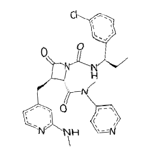 CC[C@@H](NC(=O)N1C(=O)[C@H](Cc2ccnc(NC)c2)[C@H]1C(=O)N(C)c1ccncc1)c1cccc(Cl)c1